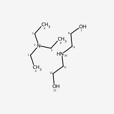 CCN(CC)CC.OCCNCCO